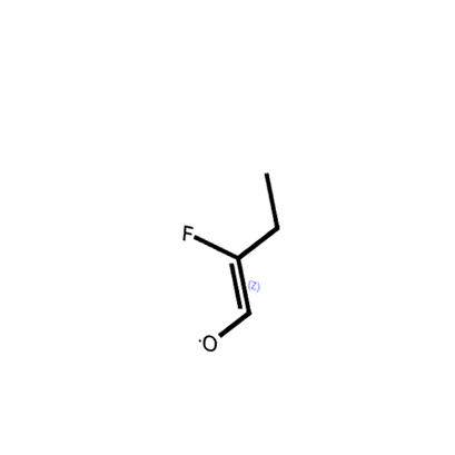 CC/C(F)=C/[O]